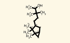 CC(O)C(C)(C)CCC1CC2CC2(C)C1(C)C